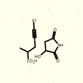 CCC#CCC(C)C(=O)O.O=C1CC(O)C(=O)N1